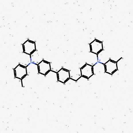 Cc1cccc(N(c2ccccc2)c2ccc(Cc3ccc(-c4ccc(N(c5ccccc5)c5cccc(C)c5)cc4)cc3)cc2)c1